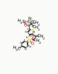 Cc1ccc(S(=O)(=O)Sc2cc(C(O[SiH3])C(C)(C)C)sc2C(C)C)cc1